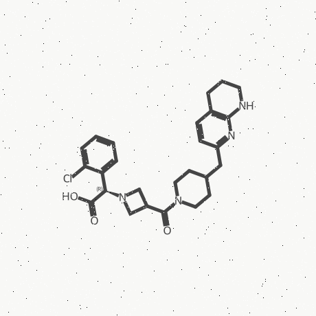 O=C(O)[C@@H](c1ccccc1Cl)N1CC(C(=O)N2CCC(Cc3ccc4c(n3)NCCC4)CC2)C1